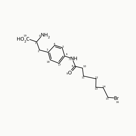 NC(Cc1ccc(NC(=O)CCCCCCBr)cc1)C(=O)O